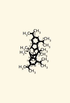 CC1=C2c3c(C(C)C)cc(C(C)C)cc3[CH]1[Ti]([CH3])([CH3])[CH]1C(C)=C(c3c(C(C)C)cc(C(C)C)cc31)C2(C)C